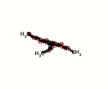 C=CCCCCOc1ccc(CCOC(=O)C2CCC(C(=O)Oc3ccc4c(c3)c(Oc3ccc(OCCCCCC)cc3)nc3cc(OC(=O)C5CCC(C(=O)OCCc6ccc(OCCCCOC)cc6)CC5)ccc34)CC2)cc1